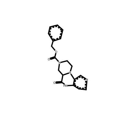 O=C1Nc2ccncc2N2CCN(C(=O)OCc3ccccc3)CC12